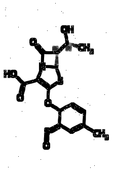 CC1=CC(=S=O)C(OC2=C(C(=O)O)N3C(=O)[C@H]([C@@H](C)O)C3S2)C=C1